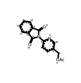 CC(=O)OCc1ccc(N2C(=O)c3ccccc3C2=O)nc1